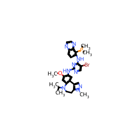 COc1cc2c(cc1Nc1ncc(Br)c(Nc3ccc4nccnc4c3P(C)C)n1)-c1cnn(C)c1CCN2C(C)C